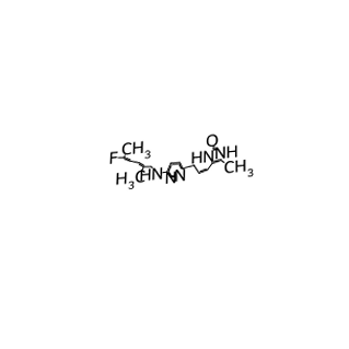 C/C(F)=C\C=C(/C)CNc1ccc(C/C=C\c2[nH]c(=O)[nH]c2C)nn1